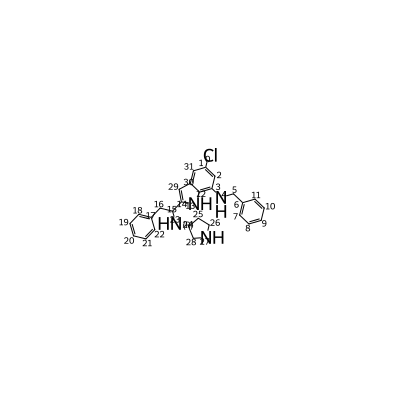 Clc1cc(NCc2ccccc2)c2[nH]c(C(Cc3ccccc3)N[C@@H]3CCNC3)cc2c1